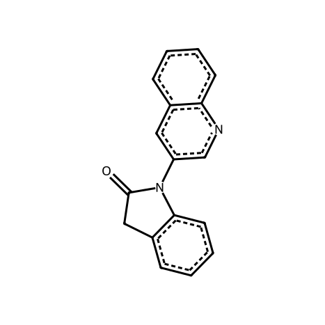 O=C1Cc2ccccc2N1c1cnc2ccccc2c1